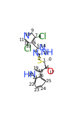 C[C@@H](Sc1nc(-c2c(Cl)cncc2Cl)n[nH]1)C(=O)c1c[nH]c2ccccc12